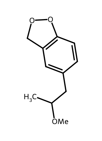 COC(C)Cc1ccc2c(c1)COO2